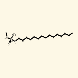 CCCCCCCCCCCCCCCOP(=O)(O)OC